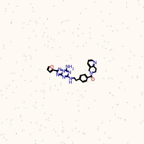 Nc1nc(NCCc2ccc(C(=O)N3CCc4ncccc4C3)cc2)nc2nc(-c3ccco3)nn12